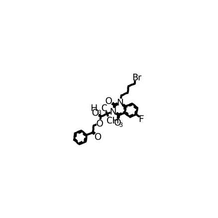 CC(C)(C(=O)OCC(=O)c1ccccc1)n1c(=O)c2cc(F)ccc2n(CCCCBr)c1=O